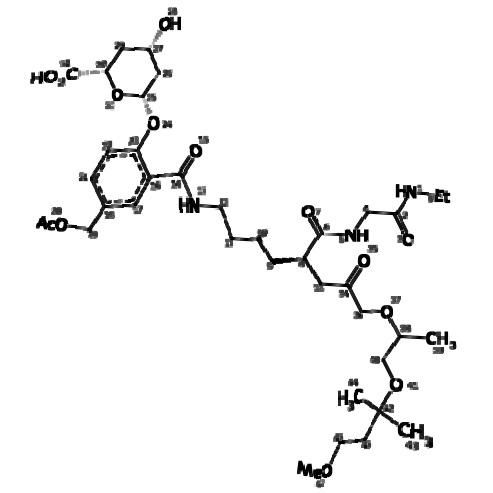 CCNC(=O)CNC(=O)[C@H](CCCCNC(=O)c1cc(COC(C)=O)ccc1O[C@H]1C[C@@H](O)C[C@@H](C(=O)O)O1)CC(=O)COC(C)COC(C)(C)CCOC